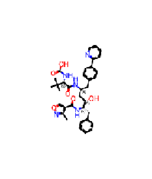 Cc1nocc1C(=O)N[C@@H](Cc1ccccc1)[C@@H](O)C[C@H](Cc1ccc(-c2ccccn2)cc1)NC(=O)[C@@H](NC(=O)O)C(C)(C)C